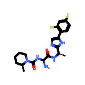 C[C@H](NC(=O)[C@@H](N)NC(=O)N1CCCC[C@@H]1C)c1ncc(-c2ccc(F)cc2F)[nH]1